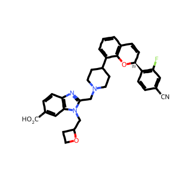 N#Cc1ccc([C@@H]2C=Cc3cccc(C4CCN(Cc5nc6ccc(C(=O)O)cc6n5CC5CCO5)CC4)c3O2)c(F)c1